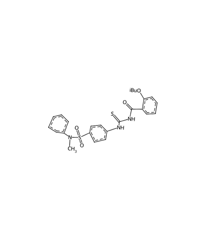 CC(C)COc1ccccc1C(=O)NC(=S)Nc1ccc(S(=O)(=O)N(C)c2ccccc2)cc1